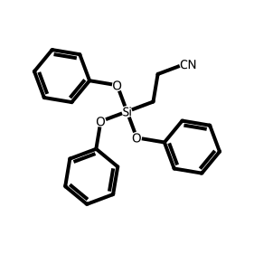 N#CCC[Si](Oc1ccccc1)(Oc1ccccc1)Oc1ccccc1